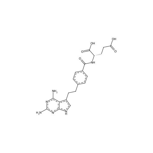 Nc1nc(N)c2c(CCc3ccc(C(=O)N[C@@H](CCC(=O)O)C(=O)O)cc3)c[nH]c2n1